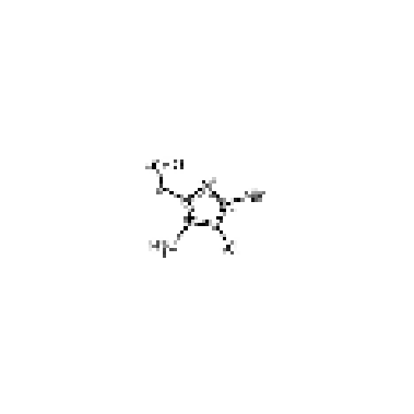 Cc1c(Cl)c(Br)nn1CC=O